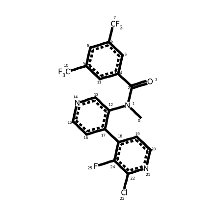 CN(C(=O)c1cc(C(F)(F)F)cc(C(F)(F)F)c1)c1cnccc1-c1ccnc(Cl)c1F